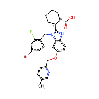 Cc1ccc(COc2ccc3nc([C@H]4CCCC[C@@H]4C(=O)O)n(Cc4ccc(Br)cc4F)c3c2)nc1